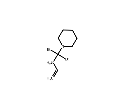 C=C[SiH2]C(CC)(CC)N1CCCCC1